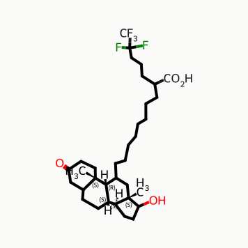 C[C@]12CCC(=O)CC1CC[C@@H]1[C@H]2C(CCCCCCCCC(CCCC(F)(F)C(F)(F)F)C(=O)O)C[C@]2(C)C(O)CC[C@@H]12